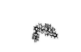 CN(Cc1ccccn1)C(=O)/C(NCC(=O)Nc1cccc(-c2cnc(C(F)(F)F)nc2)n1)=C(/NN)N(C)C=O